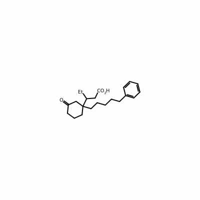 CCC(CC(=O)O)C1(CCCCCc2ccccc2)CCCC(=O)C1